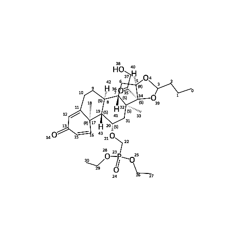 CCCC1O[C@@H]2C[C@H]3[C@@H]4CCC5=CC(=O)C=C[C@]5(C)[C@H]4[C@@H](OCP(=O)(OCC)OCC)C[C@]3(C)[C@]2(C(=O)CO)O1